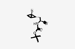 CC(C)(C)OC(=O)N[C@H](C#N)C[C@@H]1C2C[C@@H]21